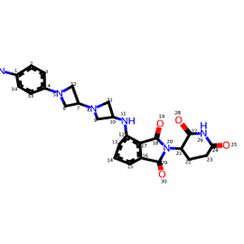 Nc1ccc(N2CC(N3CC(Nc4cccc5c4C(=O)N(C4CCC(=O)NC4=O)C5=O)C3)C2)cc1